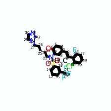 CC(=Cc1ccc2c(c1)N(S(=O)(=O)c1cccc(C(F)(F)F)c1)C[C@H](CCCn1ccnc1)O2)c1c(F)cccc1Cl